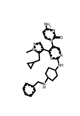 Cn1ncc(-c2nc(NC3CCC(NCc4ccccc4)CC3)ncc2-n2ccc(N)nc2=O)c1CC1CC1